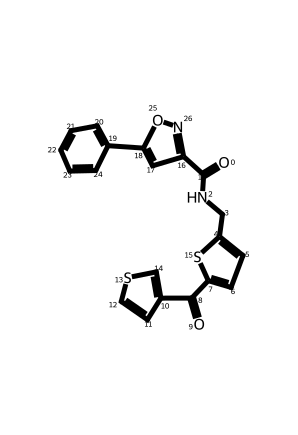 O=C(NCc1ccc(C(=O)c2ccsc2)s1)c1cc(-c2ccccc2)on1